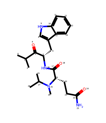 CC(C)C(=O)[C@H](Cc1c[nH]c2ccccc12)NC(=O)[C@H](CCC(N)=O)N(C)C(C)C